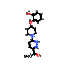 COC(=O)c1ccc(N2CCC(Oc3ccccc3Br)CC2)nn1